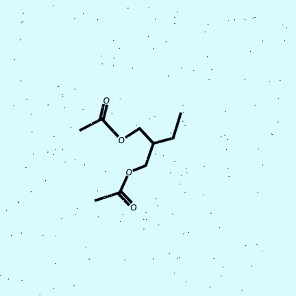 [CH2]CC(COC(C)=O)COC(C)=O